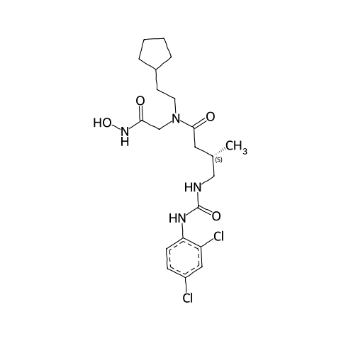 C[C@H](CNC(=O)Nc1ccc(Cl)cc1Cl)CC(=O)N(CCC1CCCC1)CC(=O)NO